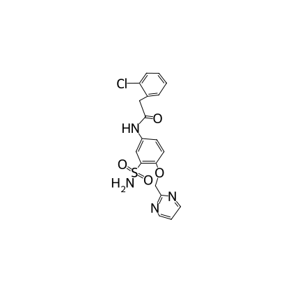 NS(=O)(=O)c1cc(NC(=O)Cc2ccccc2Cl)ccc1OCc1ncccn1